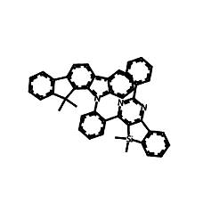 CC1(C)c2ccccc2-c2ccc3c4ccccc4n(-c4ccccc4-c4nc(-c5ccccc5)nc5c4[Si](C)(C)c4ccccc4-5)c3c21